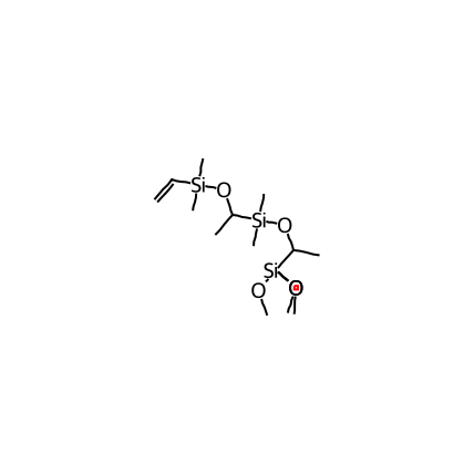 C=C[Si](C)(C)OC(C)[Si](C)(C)OC(C)[Si](OC)(OC)OC